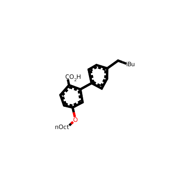 CCCCCCCCOc1ccc(C(=O)O)c(-c2ccc(CC(C)CC)cc2)c1